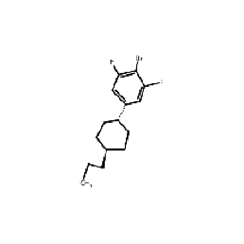 CCC[C@H]1CC[C@H](c2cc(F)c(Br)c(F)c2)CC1